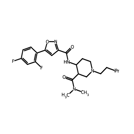 CC(C)CCN1CCC(NC(=O)c2cc(-c3ccc(F)cc3F)on2)C(C(=O)N(C)C)C1